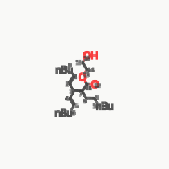 CCCCC=CC(C=CCCCC)=C(C=CCCCC)C(=O)OCCO